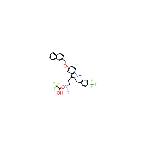 NCCc1c(Cc2ccc(C(F)(F)F)cc2)[nH]c2ccc(OCc3ccc4ccccc4c3)cc12.O=C(O)C(F)(F)F